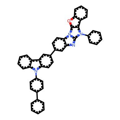 c1ccc(-c2ccc(-n3c4ccccc4c4cc(-c5ccc6c(c5)nc5n(-c7ccccc7)c7c8ccccc8oc7n65)ccc43)cc2)cc1